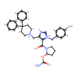 NC(=O)OC1CCCN1C(=O)c1c(CN2CCC(c3ccccc3)(c3ccccc3)CC2)ncn1Cc1ccc(Cl)cc1